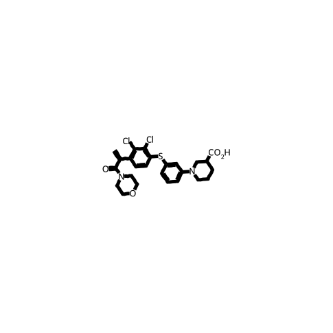 C=C(C(=O)N1CCOCC1)c1ccc(Sc2cccc(N3CCCC(C(=O)O)C3)c2)c(Cl)c1Cl